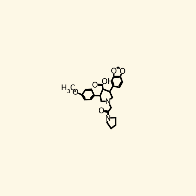 COc1ccc(C2CN(CC(=O)N3CCCC3)CC(c3ccc4c(c3)OCO4)C2C(=O)O)cc1